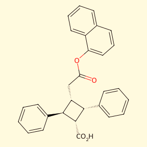 O=C(C[C@H]1[C@H](c2ccccc2)[C@@H](C(=O)O)[C@H]1c1ccccc1)Oc1cccc2ccccc12